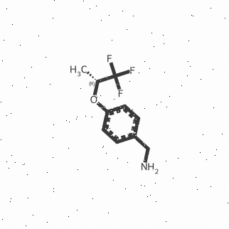 C[C@@H](Oc1ccc(CN)cc1)C(F)(F)F